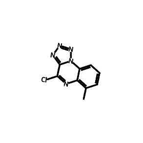 Cc1cccc2c1nc(Cl)c1nnnn12